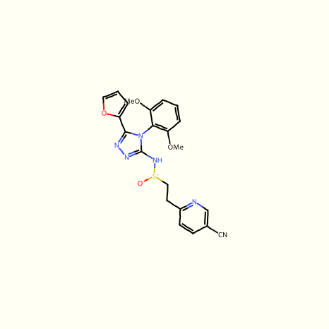 COc1cccc(OC)c1-n1c(N[S+]([O-])CCc2ccc(C#N)cn2)nnc1-c1ccco1